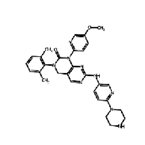 COc1ccc(N2C(=O)N(c3c(C)cccc3C)Cc3cnc(Nc4ccc(N5CCNCC5)nc4)nc32)nc1